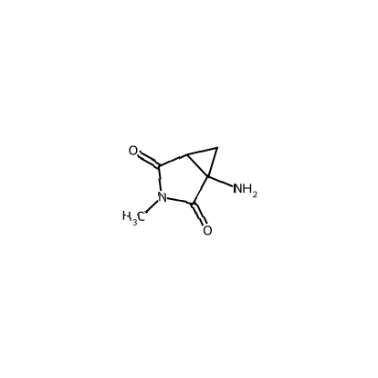 CN1C(=O)C2CC2(N)C1=O